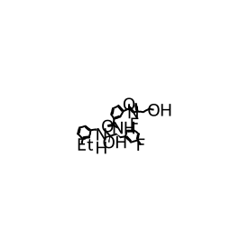 CCc1cccc(CNC[C@H](O)[C@H](Cc2cc(F)cc(F)c2)NC(=O)c2cccc(-c3nc(CCO)co3)c2)c1